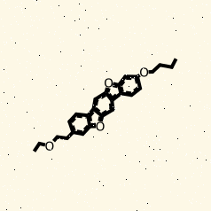 CCCCOc1ccc2c(c1)oc1cc3c(cc12)oc1cc(CCOCC)ccc13